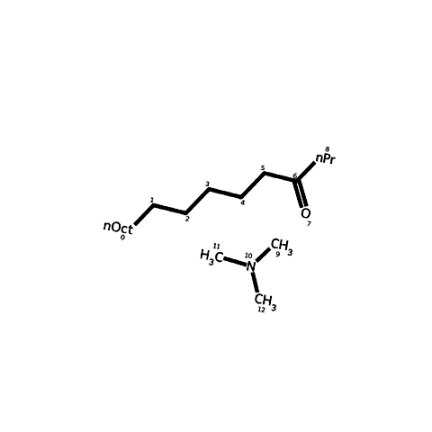 CCCCCCCCCCCCCC(=O)CCC.CN(C)C